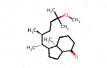 COC(C)(C)CC[C@H](C)[C@@H](C)C1CCC2C(=O)CCC[C@@]21C